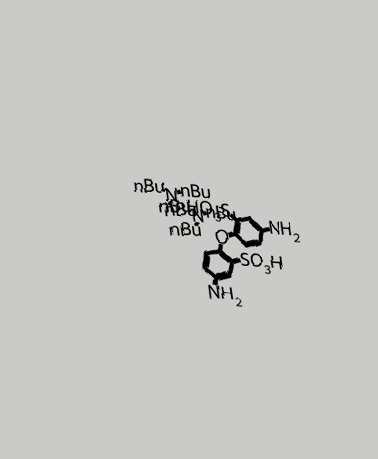 CCCCN(CCCC)CCCC.CCCCN(CCCC)CCCC.Nc1ccc(Oc2ccc(N)cc2S(=O)(=O)O)c(S(=O)(=O)O)c1